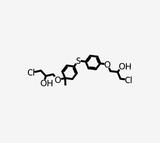 CC1(OCC(O)CCl)C=CC(Sc2ccc(OCC(O)CCl)cc2)=CC1